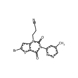 Cc1cnnc(-n2c(=O)c3sc(Br)cc3n(CCC#N)c2=O)c1